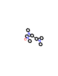 O=c1ccc2c(c3cc(-c4ccc5c(c4)c4ccccc4n5-c4ccccc4)ccc3n2-c2ccccc2)n1-c1ccccc1